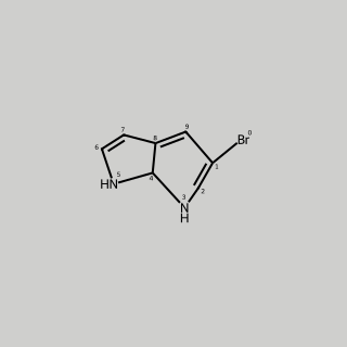 BrC1=CNC2NC=CC2=C1